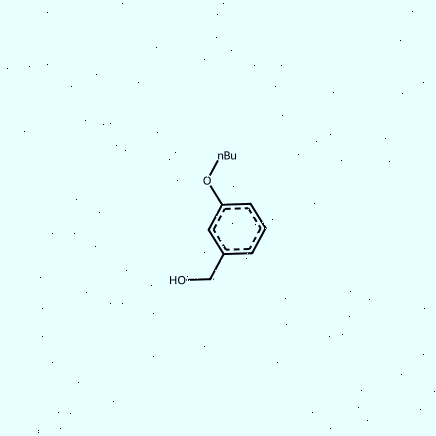 CCCCOc1cccc([CH]O)c1